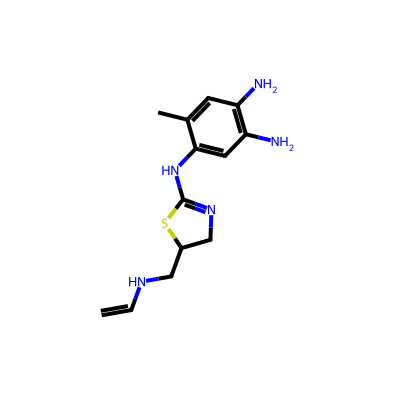 C=CNCC1CN=C(Nc2cc(N)c(N)cc2C)S1